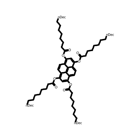 CCCCCCCCCCCCCCCCCC(=O)Oc1cc(OC(=O)CCCCCCCCCCCCCCCCC)c2ccc3c(OC(=O)CCCCCCCCCCCCCCCCC)cc(OC(=O)CCCCCCCCCCCCCCCCC)c4ccc1c2c43